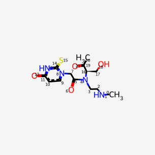 CNCCN(C(=O)Cn1ccc(=O)[nH]c1=S)[C@H](CO)C(C)=O